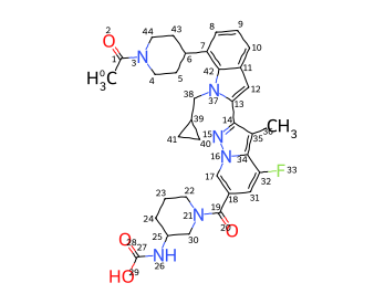 CC(=O)N1CCC(c2cccc3cc(-c4nn5cc(C(=O)N6CCCC(NC(=O)O)C6)cc(F)c5c4C)n(CC4CC4)c23)CC1